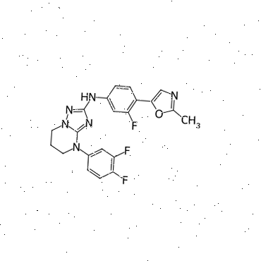 Cc1ncc(-c2ccc(Nc3nc4n(n3)CCCN4c3ccc(F)c(F)c3)cc2F)o1